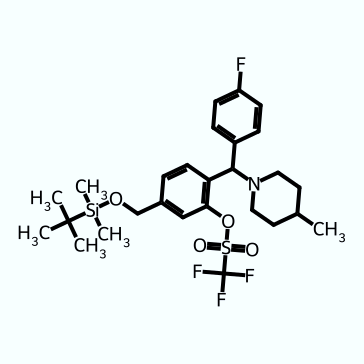 CC1CCN(C(c2ccc(F)cc2)c2ccc(CO[Si](C)(C)C(C)(C)C)cc2OS(=O)(=O)C(F)(F)F)CC1